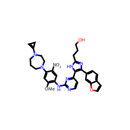 COc1cc(N2CCCN(C3=CC3)CC2)c([N+](=O)[O-])cc1Nc1nccc(-c2[nH]c(CCCO)nc2-c2ccc3ccoc3c2)n1